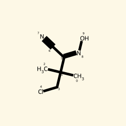 CC(C)(CCl)C(C#N)=NO